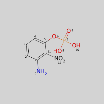 Nc1cccc(OP(=O)(O)O)c1[N+](=O)[O-]